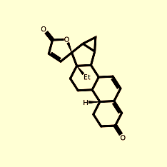 CC[C@]12CCC3C(C=CC4=CC(=O)CC[C@@H]43)C1C1CC1[C@@]21C=CC(=O)O1